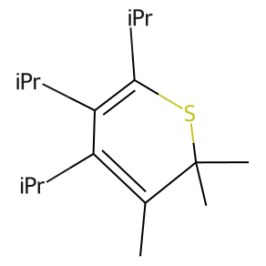 CC1=C(C(C)C)C(C(C)C)=C(C(C)C)SC1(C)C